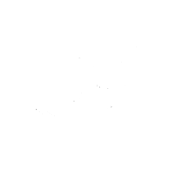 CCCC1C(=O)c2ccc(C(C)(C)C)cc2N1C(=O)O